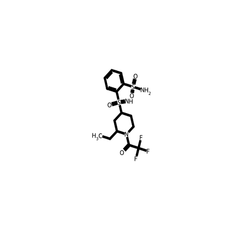 CCC1CC(S(=N)(=O)c2ccccc2S(N)(=O)=O)CCN1C(=O)C(F)(F)F